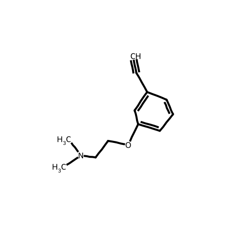 C#Cc1cccc(OCCN(C)C)c1